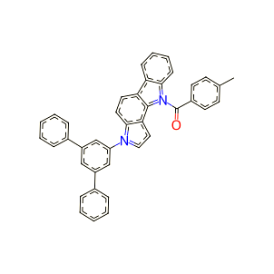 Cc1ccc(C(=O)n2c3ccccc3c3ccc4c(ccn4-c4cc(-c5ccccc5)cc(-c5ccccc5)c4)c32)cc1